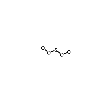 [O]OSO[O]